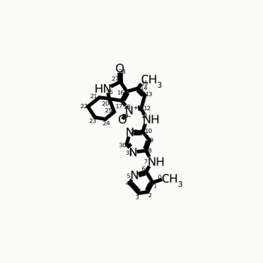 Cc1cccnc1Nc1cc(Nc2cc(C)c3c([n+]2[O-])C2(CCCCC2)NC3=O)ncn1